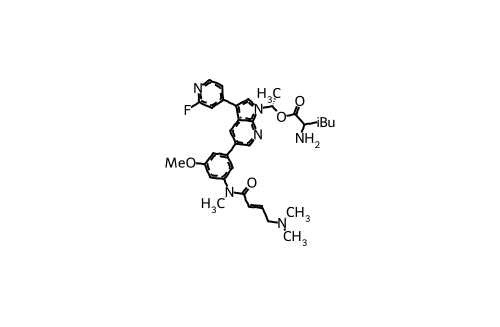 CCC(C)C(N)C(=O)O[C@@H](C)n1cc(-c2ccnc(F)c2)c2cc(-c3cc(OC)cc(N(C)C(=O)/C=C/CN(C)C)c3)cnc21